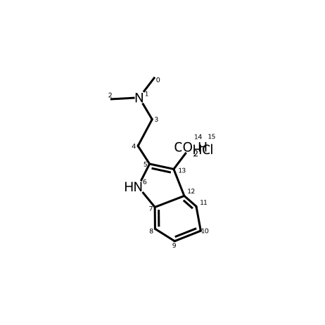 CN(C)CCc1[nH]c2ccccc2c1C(=O)O.Cl